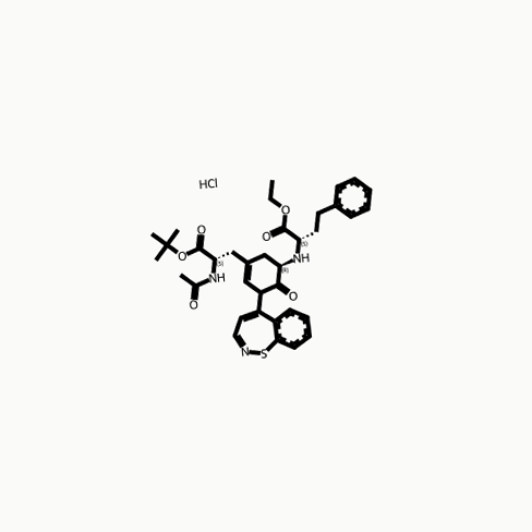 CCOC(=O)[C@H](CCc1ccccc1)N[C@@H]1CC(C[C@H](NC(C)=O)C(=O)OC(C)(C)C)=CC(C2=CC=NSc3ccccc32)C1=O.Cl